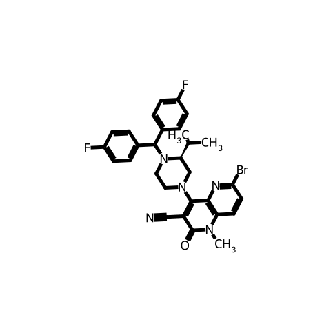 CC(C)[C@H]1CN(c2c(C#N)c(=O)n(C)c3ccc(Br)nc23)CCN1C(c1ccc(F)cc1)c1ccc(F)cc1